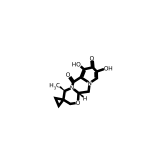 C[C@H]1N2C(=O)c3c(O)c(=O)c(O)cn3C[C@@H]2OCC12CC2